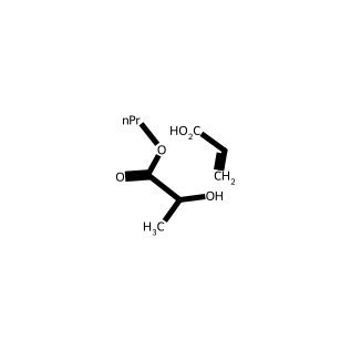 C=CC(=O)O.CCCOC(=O)C(C)O